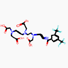 O=C(O)CN(CCNC(=O)c1cc(C(F)(F)F)cc(C(F)(F)F)c1)CCN(CCN(CC(=O)O)CC(=O)O)CC(=O)O